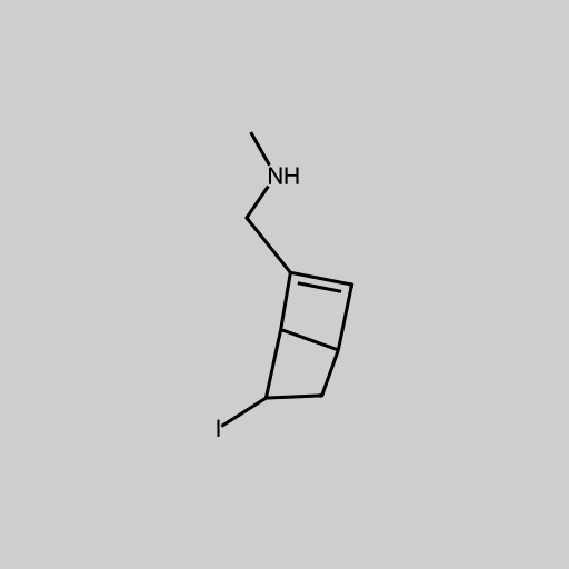 CNCC1=CC2CC(I)C12